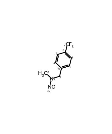 CN(Cc1ccc(C(F)(F)F)cc1)N=O